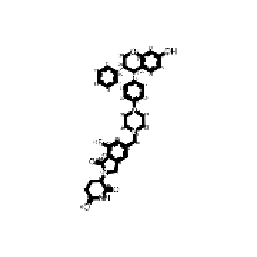 O=C1CCC(N2Cc3cc(CN4CCN(c5ccc([C@H]6c7ccc(O)cc7OC[C@H]6c6ccccc6)cc5)CC4)cc(F)c3C2=O)C(=O)N1